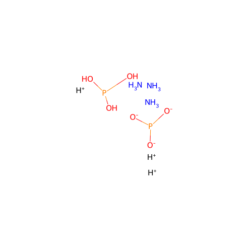 N.N.N.OP(O)O.[H+].[H+].[H+].[O-]P([O-])[O-]